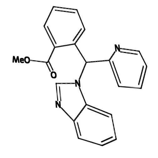 COC(=O)c1ccccc1C(c1ccccn1)n1cnc2ccccc21